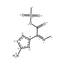 C/N=C(\C(=O)OS(C)(=O)=O)c1nsc(N)n1